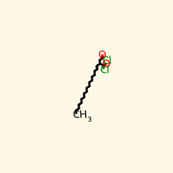 CCCCCCCCCCCCCCCCC=CC(CC(=O)Cl)C(=O)Cl